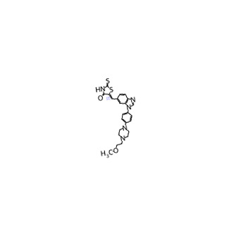 COCCN1CCN(c2ccc(-n3cnc4ccc(/C=C5\SC(=S)NC5=O)cc43)cc2)CC1